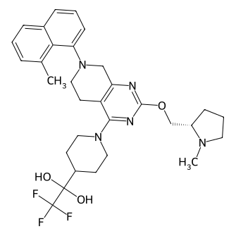 Cc1cccc2cccc(N3CCc4c(nc(OC[C@@H]5CCCN5C)nc4N4CCC(C(O)(O)C(F)(F)F)CC4)C3)c12